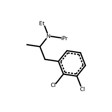 CCN(C(C)C)C(C)Cc1cccc(Cl)c1Cl